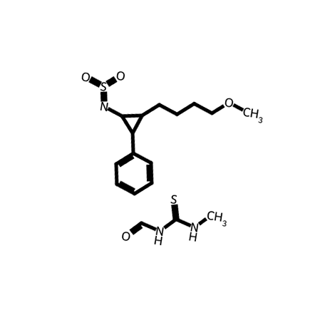 CNC(=S)NC=O.COCCCCC1C(N=S(=O)=O)C1c1ccccc1